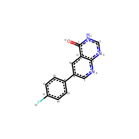 O=c1[nH]cnc2ncc(-c3ccc(F)cc3)cc12